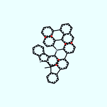 CC1(C)c2ccccc2-c2ccc(-c3ccccc3N(c3ccccc3-c3cccc4cccc(-c5ccccc5)c34)c3cccc4sc5ccccc5c34)cc21